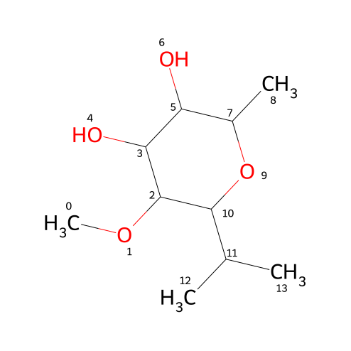 COC1C(O)C(O)C(C)OC1C(C)C